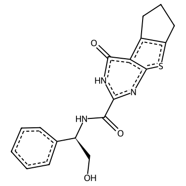 O=C(N[C@@H](CO)c1ccccc1)c1nc2sc3c(c2c(=O)[nH]1)CCC3